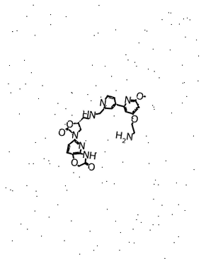 COc1cc(OCCN)cc(-c2ccnc(CNCC[C@H]3CN(c4ccc5c(n4)NC(=O)CO5)C(=O)O3)c2)n1